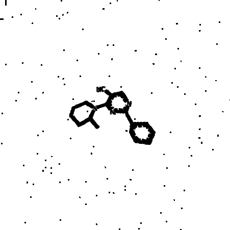 CC1CCCCN1c1nc(-c2ccccc2)ncc1C#N